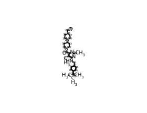 Cc1nc(NCc2ccc(C(C)(C)C)cc2)c(C)c(C(=O)N2CCC(N3CCC(C=O)CC3)CC2)n1